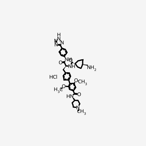 COc1cc(C(=O)NC2CCN(C)CC2)cc(OC)c1-c1ccc(C[C@H](NC(=O)[C@H]2CC[C@H](CN)CC2)C(=O)Nc2ccc(-c3nn[nH]n3)cc2)cc1.Cl